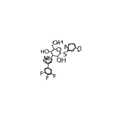 OCC1O[C@H](Sc2cc(Cl)ccn2)C(O)C(n2cc(-c3cc(F)c(F)c(F)c3)nn2)[C@H]1O